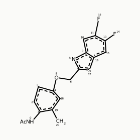 CC(=O)Nc1ccc(OCc2nc3cc(F)c(F)cc3s2)cc1C